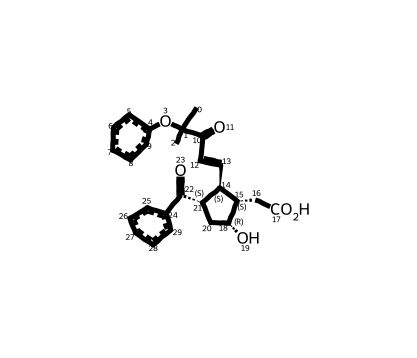 CC(C)(Oc1ccccc1)C(=O)C=C[C@H]1[C@H](CC(=O)O)[C@H](O)C[C@@H]1C(=O)c1ccccc1